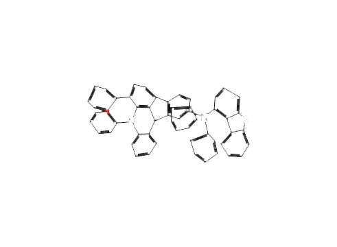 c1ccc(-c2ccc3c4c2N(c2ccccc2)c2ccccc2[C@]4(c2ccccc2)c2cc(N(c4ccccc4)c4cccc5sc6ccccc6c45)ccc2-3)cc1